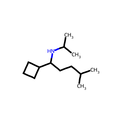 CC(C)CCC(NC(C)C)C1CCC1